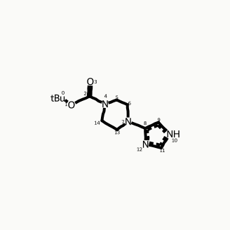 CC(C)(C)OC(=O)N1CCN(c2c[nH]cn2)CC1